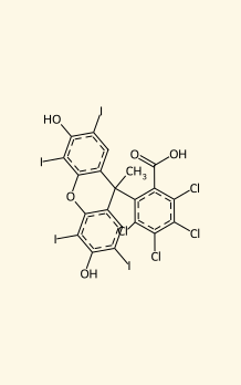 CC1(c2c(Cl)c(Cl)c(Cl)c(Cl)c2C(=O)O)c2cc(I)c(O)c(I)c2Oc2c1cc(I)c(O)c2I